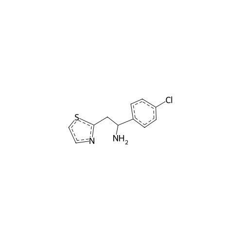 NC(Cc1nccs1)c1ccc(Cl)cc1